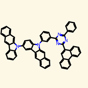 c1ccc(-c2nc(-c3cccc(-n4c5ccc(-n6c7ccccc7c7cc8ccccc8cc76)cc5c5cc6ccccc6cc54)c3)nc(-c3cc4ccccc4c4ccccc34)n2)cc1